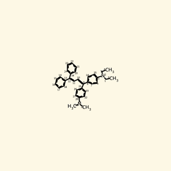 CCN(CC)c1ccc(C(=CC=C(c2ccccc2)c2ccccc2)c2ccc(N(C)C)cc2)cc1